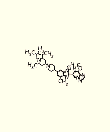 CCC1CC(N2CCC(c3cc(C)c4nc(-c5cc(OC)c6ncnn6c5)n(C)c4c3)CC2)CC(C)N1CC(C)C